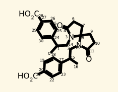 CC(CN1C(=O)CCC12CCC(=O)N2CC(C)c1ccc(C(=O)O)cc1)c1ccc(C(=O)O)cc1